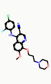 COc1ccc2c(Nc3ccc(Cl)cc3F)c(C#N)cnc2c1OCCCN1CCOCC1